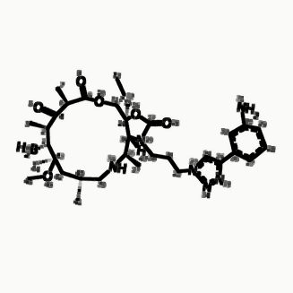 B[C@@H]1[C@@H](C)C(=O)[C@@H](C)C(=O)O[C@H](CC)[C@@]2(C)OC(=O)N(CCCn3cc(-c4cccc(N)c4)nn3)[C@@H]2[C@@H](C)NC[C@H](C)C[C@@]1(C)OC